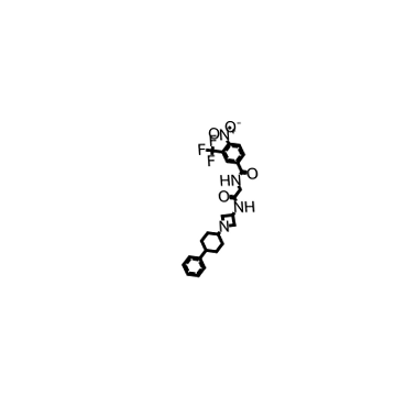 O=C(CNC(=O)c1ccc([N+](=O)[O-])c(C(F)(F)F)c1)NC1CN(C2CCC(c3ccccc3)CC2)C1